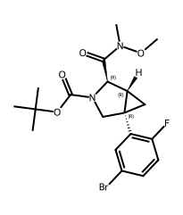 CON(C)C(=O)[C@H]1[C@@H]2C[C@@]2(c2cc(Br)ccc2F)CN1C(=O)OC(C)(C)C